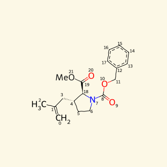 C=C(C)C[C@H]1CCN(C(=O)OCc2ccccc2)[C@@H]1C(=O)OC